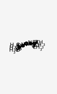 COc1sc(-c2ccc(N3CCCN(c4ccc(-c5sc(OC)c(C)c5OC)cn4)CC3)nc2)c(OC)c1C